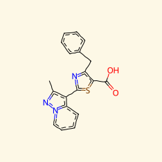 Cc1nn2ccccc2c1-c1nc(Cc2ccccc2)c(C(=O)O)s1